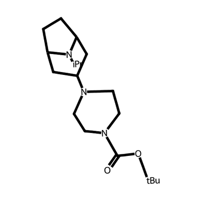 CC(C)N1C2CCC1CC(N1CCN(C(=O)OC(C)(C)C)CC1)C2